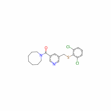 O=C(c1cncc(CSc2c(Cl)cccc2Cl)c1)N1CCCCCCC1